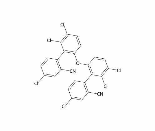 N#Cc1cc(Cl)ccc1-c1c(Oc2ccc(Cl)c(Cl)c2-c2ccc(Cl)cc2C#N)ccc(Cl)c1Cl